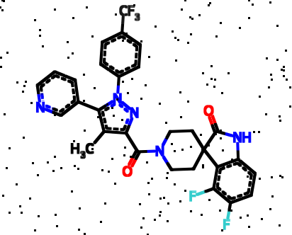 Cc1c(C(=O)N2CCC3(CC2)C(=O)Nc2ccc(F)c(F)c23)nn(-c2ccc(C(F)(F)F)cc2)c1-c1cccnc1